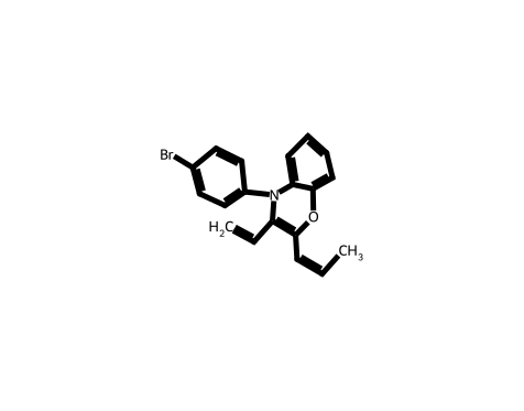 C=CC1=C(/C=C\C)Oc2ccccc2N1c1ccc(Br)cc1